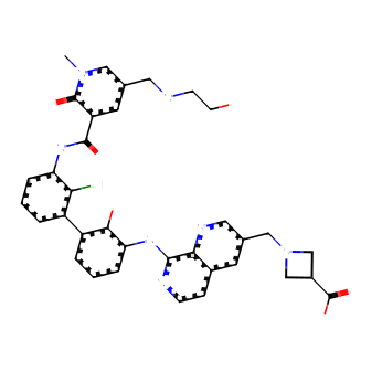 Cn1cc(CNCCO)cc(C(=O)Nc2cccc(-c3cccc(Nc4nccc5cc(CN6CC(C(=O)O)C6)cnc45)c3O)c2Cl)c1=O